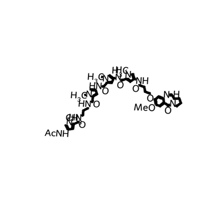 COc1cc2c(cc1OCCCC(=O)Nc1cc(C(=O)Nc3cc(C(=O)Nc4cc(C(=O)NCCCNC(=O)c5cc(NC(C)=O)cn5C)n(C)c4)n(C)c3)n(C)c1)N=C[C@@H]1CCCN1C2=O